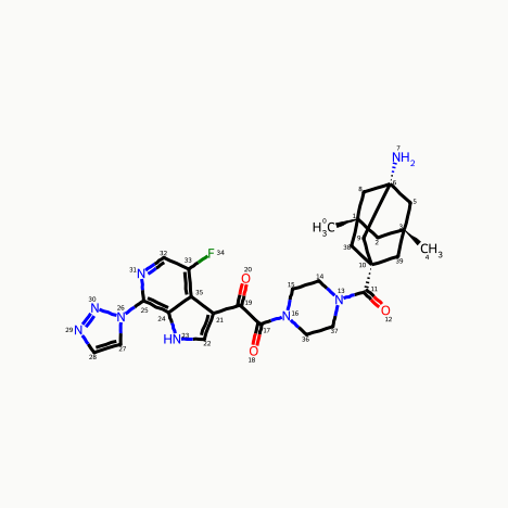 C[C@]12C[C@]3(C)C[C@](N)(C1)C[C@](C(=O)N1CCN(C(=O)C(=O)c4c[nH]c5c(-n6ccnn6)ncc(F)c45)CC1)(C2)C3